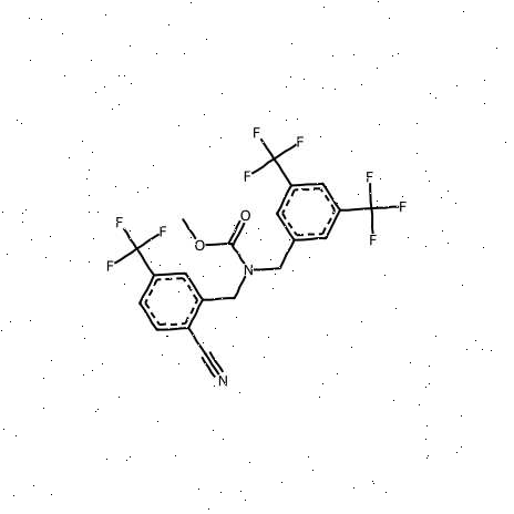 COC(=O)N(Cc1cc(C(F)(F)F)cc(C(F)(F)F)c1)Cc1cc(C(F)(F)F)ccc1C#N